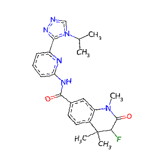 CC(C)n1cnnc1-c1cccc(NC(=O)c2ccc3c(c2)N(C)C(=O)C(F)C3(C)C)n1